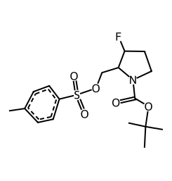 Cc1ccc(S(=O)(=O)OCC2C(F)CCN2C(=O)OC(C)(C)C)cc1